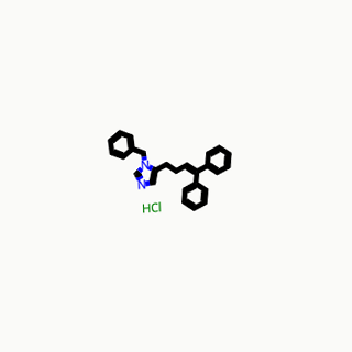 C(CCc1cncn1Cc1ccccc1)=C(c1ccccc1)c1ccccc1.Cl